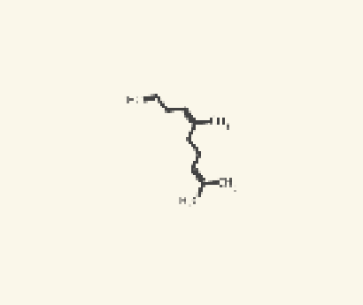 [CH]=CCC=C(C)CCC=C(C)C